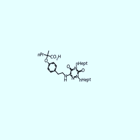 CCCCCCCn1nc(NCCc2ccc(OC(C)(CCC)C(=O)O)cc2)c(=O)n(CCCCCCC)c1=O